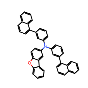 c1cc(-c2cccc3ccccc23)cc(N(c2cccc(-c3cccc4ccccc34)c2)c2ccc3oc4ccccc4c3c2)c1